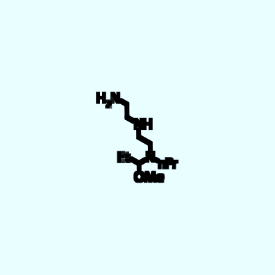 CCCN(CCNCCN)C(CC)OC